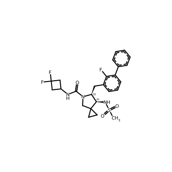 CS(=O)(=O)N[C@@H]1[C@H](Cc2cccc(-c3ccccc3)c2F)N(C(=O)NC2CC(F)(F)C2)CC12CC2